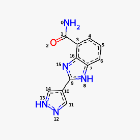 NC(=O)c1cccc2[nH]c(-c3cn[nH]c3)nc12